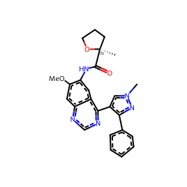 COc1cc2ncnc(-c3cn(C)nc3-c3ccccc3)c2cc1NC(=O)[C@]1(C)CCCO1